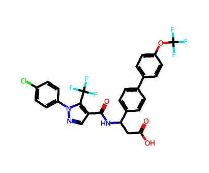 O=C(O)CC(NC(=O)c1cnn(-c2ccc(Cl)cc2)c1C(F)(F)F)c1ccc(-c2ccc(OC(F)(F)F)cc2)cc1